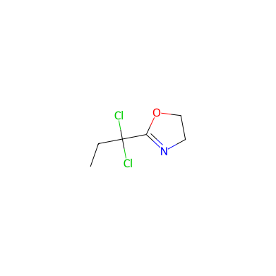 CCC(Cl)(Cl)C1=NCCO1